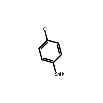 Clc1cc[c]([SnH])cc1